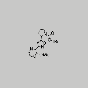 COc1nccnc1-c1cc(C2CCCN2C(=O)OC(C)(C)C)on1